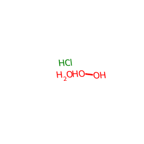 Cl.O.OO